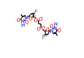 Cc1cn([C@H]2C[C@@H](F)[C@@H](COC(=O)CCC(=O)OC[C@H]3O[C@@H](n4cc(C)c(=O)[nH]c4=O)C[C@H]3F)O2)c(=O)[nH]c1=O